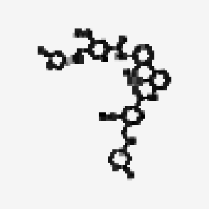 COc1cc(C(=O)Nc2cccc(-c3cccc(NC(=O)c4cc(OC)c(CN[C@@H]5COC(=O)C5)cn4)c3C)c2C)ncc1CN[C@@H]1CCOC(=O)C1